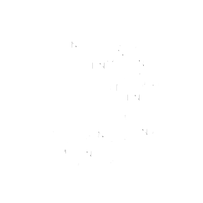 NCCNc1ncnc(C(=O)NCc2ncc(C(=O)Nc3cc(C(F)(F)F)c(Cl)cn3)s2)c1Cl